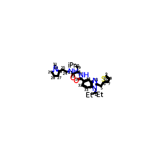 CCC(CC)n1c(Cc2cccs2)nc2cc(C(=O)N[C@@H](CC(C)C)C(=O)NCCC3CCCN3C)ccc21